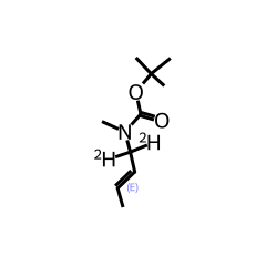 [2H]C([2H])(/C=C/C)N(C)C(=O)OC(C)(C)C